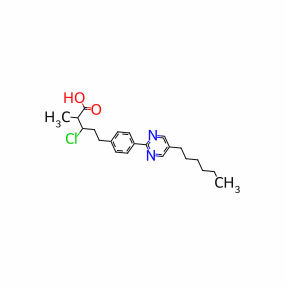 CCCCCCc1cnc(-c2ccc(CCC(Cl)C(C)C(=O)O)cc2)nc1